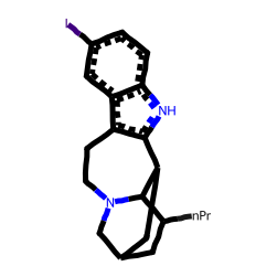 CCCC1CC2CC3c4[nH]c5ccc(I)cc5c4CCN(C2)C13